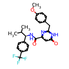 COc1ccc(Cc2nc(C(=O)N[C@@H](c3ccc(C(F)(F)F)cc3)C(C)C)cc(=O)[nH]2)cc1